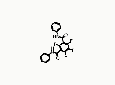 O=C(Nc1ccccc1)c1c(F)c(F)c(F)c(C(=O)Nc2ccccc2)c1F